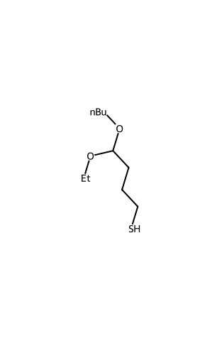 CCCCOC(CCCS)OCC